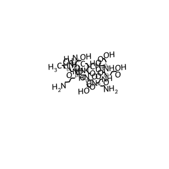 CC[C@H](C)[C@H](NC(=O)[C@H](CCCCN)NC(=O)[C@H](CC(C)C)NC(=O)[C@@H](N)CO)C(=O)N[C@@H](CC(=O)O)C(=O)N[C@@H](CC(N)=O)C(=O)N[C@@H](CCC(=O)O)C(=O)N[C@@H](CC(=O)O)C(=O)O